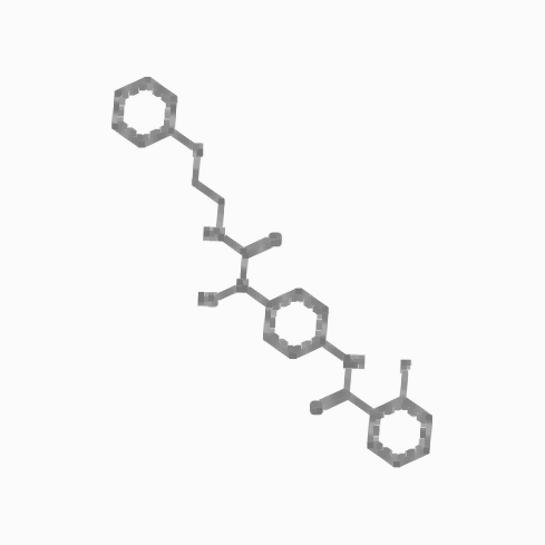 O=C(Nc1ccc(N(S)C(=O)NCCSc2ccccc2)cc1)c1ccccc1F